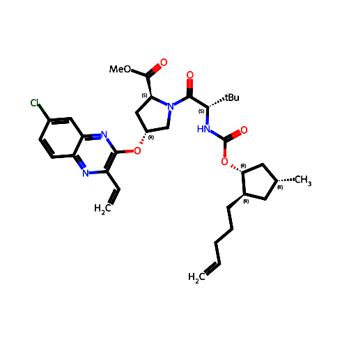 C=CCCC[C@@H]1C[C@@H](C)C[C@H]1OC(=O)N[C@H](C(=O)N1C[C@H](Oc2nc3cc(Cl)ccc3nc2C=C)C[C@H]1C(=O)OC)C(C)(C)C